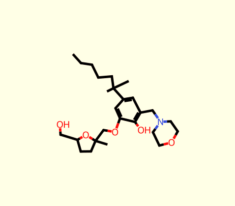 CCCCCC(C)(C)c1cc(CN2CCOCC2)c(O)c(OCC2(C)CCC(CO)O2)c1